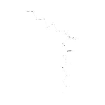 CCCCCCCNC(=N)NC(=O)NCCCCCC